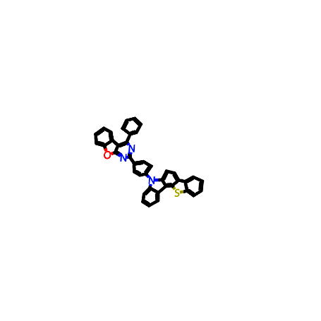 c1ccc(-c2nc(-c3ccc(-n4c5ccccc5c5c6sc7ccccc7c6ccc54)cc3)nc3oc4ccccc4c23)cc1